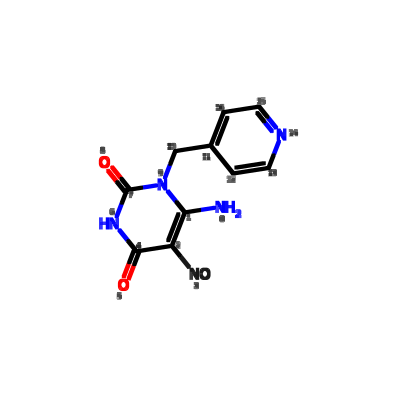 Nc1c(N=O)c(=O)[nH]c(=O)n1Cc1ccncc1